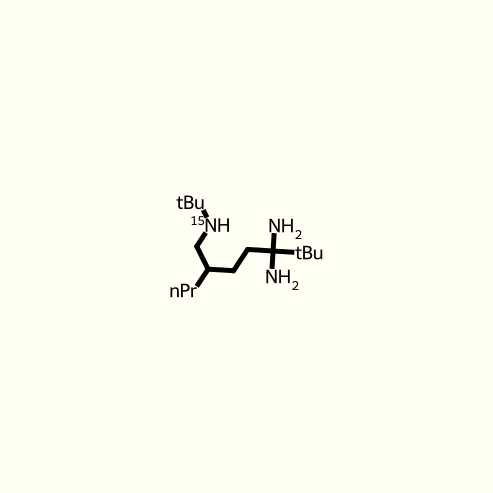 CCCC(CCC(N)(N)C(C)(C)C)C[15NH]C(C)(C)C